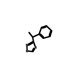 CC(c1ccccc1)c1ncon1